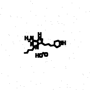 CCCCc1nc(N)c2[nH]cc(CCCC3CCNCC3)c2n1.O=CO